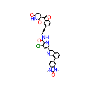 Cn1c(=O)n(C)c2cc(-c3cccc4cc(-c5cnc(C(=O)NCC#Cc6ccc7occ(C8CCC(=O)NC8=O)c7c6)c(Cl)c5)ncc34)ccc21